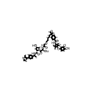 Cc1ncsc1-c1ccc(C(C)NC(=O)[C@@H]2C[C@@H](O)CN2C(=O)[C@@H](NC(=O)COCCCCCC2(c3ccc(C(=O)N[C@H]4C(C)(C)[C@H](Oc5ccc(C#N)c(Cl)c5)C4(C)C)cc3)COC2)C(C)(C)C)cc1